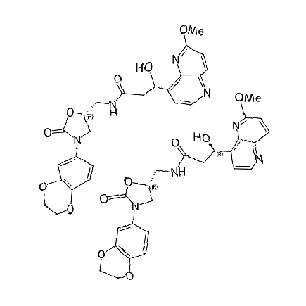 COc1ccc2nccc(C(O)CC(=O)NC[C@@H]3CN(c4ccc5c(c4)OCCO5)C(=O)O3)c2n1.COc1ccc2nccc([C@H](O)CC(=O)NC[C@@H]3CN(c4ccc5c(c4)OCCO5)C(=O)O3)c2n1